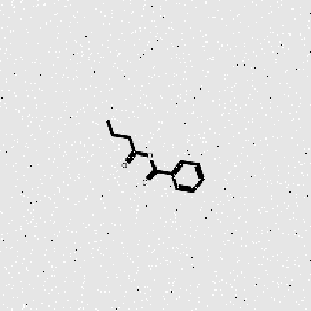 [CH2]CCC(=O)OC(=O)c1ccccc1